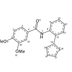 COc1ccc(C(=O)Nc2ccccc2-c2cccs2)cc1OC